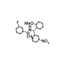 COc1ccccc1C(N[C@@H](C)c1cccc(F)c1)c1cccc([N+](=O)[O-])c1